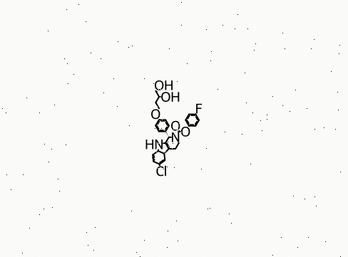 O=C(Oc1ccc(F)cc1)N1CCC2=C(NC3C=CC(Cl)=CC23)[C@@H]1c1ccc(OCC[C@H](O)CO)cc1